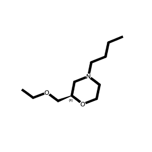 CCCCN1CCO[C@@H](COCC)C1